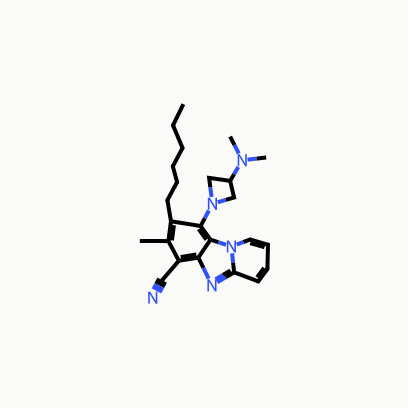 CCCCCCc1c(C)c(C#N)c2nc3ccccn3c2c1N1CC(N(C)C)C1